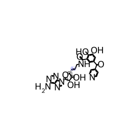 Nc1ncnc2c1ncn2[C@@H]1O[C@H](/C=C/CNC(=O)c2cc(C(=O)c3ccncc3)cc(O)c2O)[C@H](O)C1O